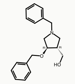 OC[C@H]1CN(Cc2ccccc2)C[C@@H]1OCc1ccccc1